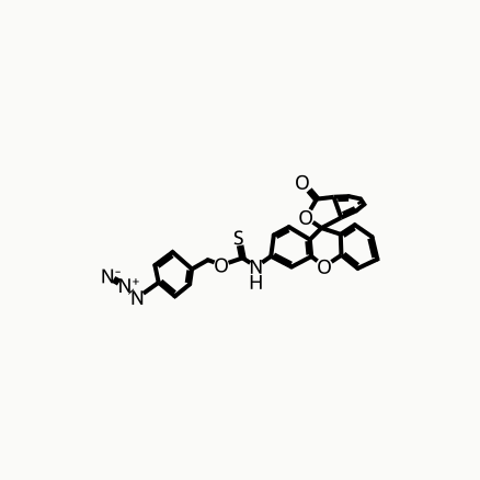 [N-]=[N+]=Nc1ccc(COC(=S)Nc2ccc3c(c2)Oc2ccccc2C32OC(=O)c3ccccc32)cc1